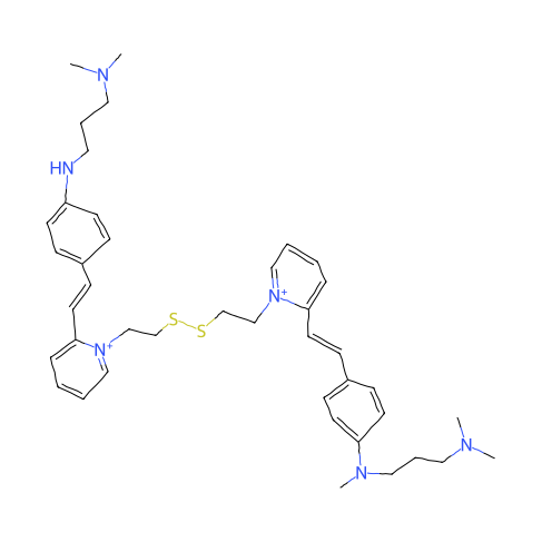 CN(C)CCCNc1ccc(/C=C/c2cccc[n+]2CCSSCC[n+]2ccccc2/C=C/c2ccc(N(C)CCCN(C)C)cc2)cc1